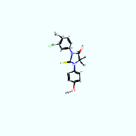 CC(C)Oc1ccc(N2C(=S)N(c3ccc(C#N)c(Cl)c3)C(=O)C2(C)C)cc1